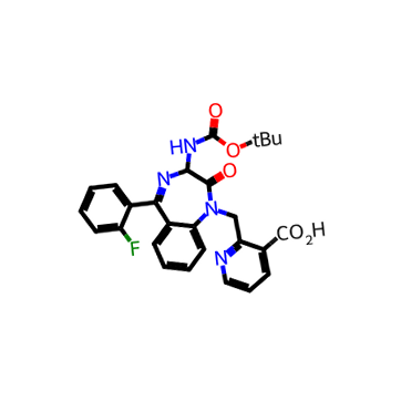 CC(C)(C)OC(=O)NC1N=C(c2ccccc2F)c2ccccc2N(Cc2ncccc2C(=O)O)C1=O